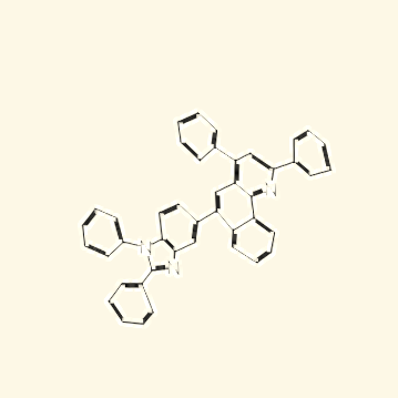 c1ccc(-c2cc(-c3ccccc3)c3cc(-c4ccc5c(c4)nc(-c4ccccc4)n5-c4ccccc4)c4ccccc4c3n2)cc1